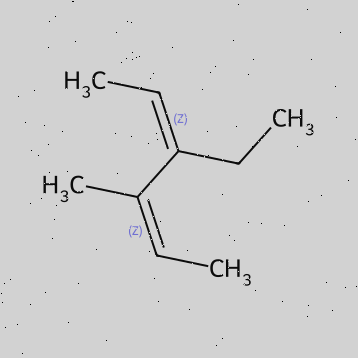 C/C=C(C)\C(=C/C)CC